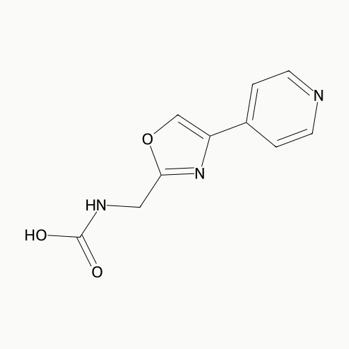 O=C(O)NCc1nc(-c2ccncc2)co1